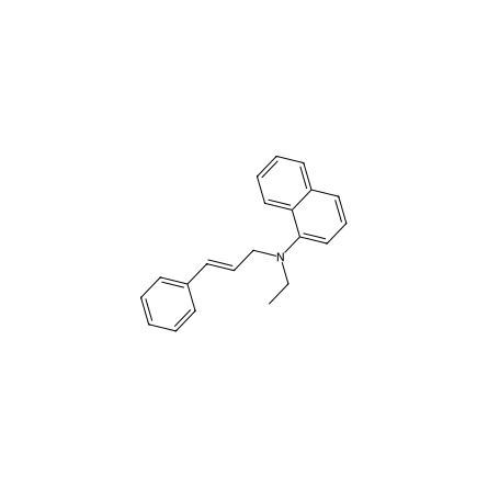 CCN(CC=Cc1ccccc1)c1cccc2ccccc12